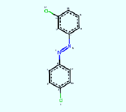 Clc1ccc(N=Nc2cccc(Cl)c2)cc1